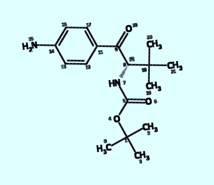 CC(C)(C)OC(=O)N[C@H](C(=O)c1ccc(N)cc1)C(C)(C)C